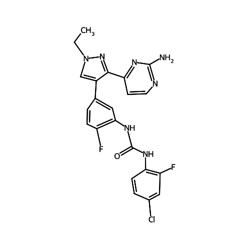 CCn1cc(-c2ccc(F)c(NC(=O)Nc3ccc(Cl)cc3F)c2)c(-c2ccnc(N)n2)n1